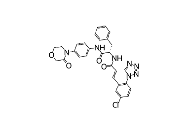 O=C(/C=C/c1cc(Cl)ccc1-n1cnnn1)N[C@@H](Cc1ccccc1)C(=O)Nc1ccc(N2CCOCC2=O)cc1